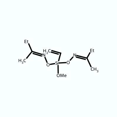 C=C[Si](OC)(ON=C(C)CC)ON=C(C)CC